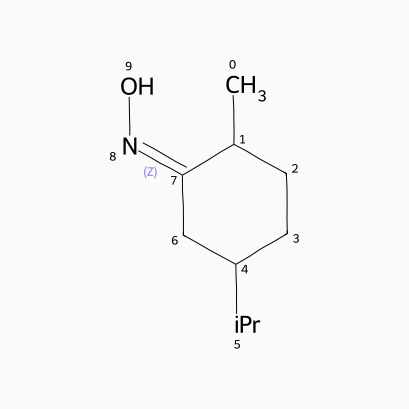 CC1CCC(C(C)C)C/C1=N/O